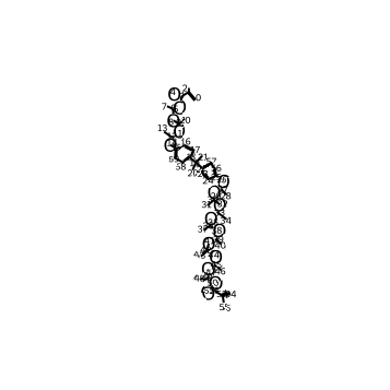 C=C(C)C(=O)OC(C)OC(C)OC(C)Oc1ccc(C(C)(C)c2ccc(OC(C)OC(C)OC(C)OC(C)OC(C)OC(C)OC(C)OC(C)OC(=O)C(=C)C)cc2)cc1